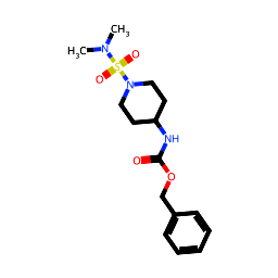 CN(C)S(=O)(=O)N1CCC(NC(=O)OCc2ccccc2)CC1